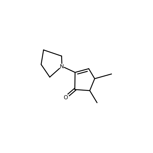 CC1C=C(N2CCCC2)C(=O)C1C